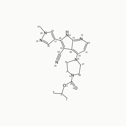 CC(C)OC(=O)N1CCN(c2ccnc3[nH]c(-c4cnn(C)c4)c(C#N)c23)CC1